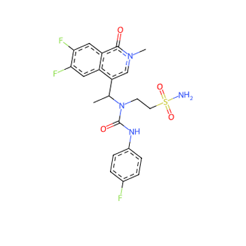 CC(c1cn(C)c(=O)c2cc(F)c(F)cc12)N(CCS(N)(=O)=O)C(=O)Nc1ccc(F)cc1